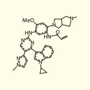 C=CC(=O)Nc1cc(Nc2ncc(-c3ccn(C)n3)c(-c3cn(C4CC4)c4ccccc34)n2)c(OC)cc1N1CC2CN(C)CC2C1